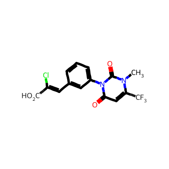 Cn1c(C(F)(F)F)cc(=O)n(-c2cccc(/C=C(\Cl)C(=O)O)c2)c1=O